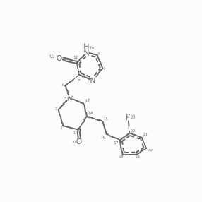 O=C1CCN(Cc2ncc[nH]c2=O)CC1CCc1ccccc1F